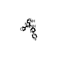 CN1CCN(c2ccc(Nc3nc(-c4ccoc4)nc4cn[nH]c34)cn2)CC1